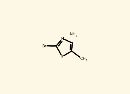 Cc1cnc(Br)s1.N